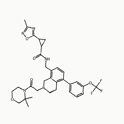 Cc1noc(C2CC2C(=O)NCc2ccc(-c3cccc(OC(F)(F)F)c3)c3c2CN(CC(=O)N2CCOCC2(C)C)CC3)n1